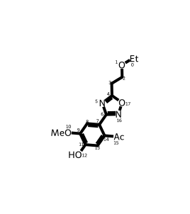 CCOCCc1nc(-c2cc(OC)c(O)cc2C(C)=O)no1